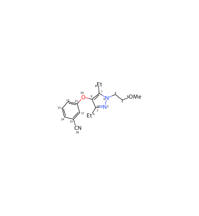 CCc1nn(CCOC)c(CC)c1Oc1cccc(C#N)c1